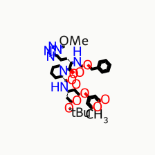 COCn1nnnc1CC[C@H](NC(=O)OCc1ccccc1)C(=O)N1CCCC[C@H]1C(=O)N[C@@H](CC(=O)OC(C)(C)C)C(=O)COc1cc(C)oc(=O)c1